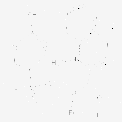 CCOC(OCC)c1ccc2ccccc2[n+]1C.Cc1ccc(S(=O)(=O)[O-])cc1